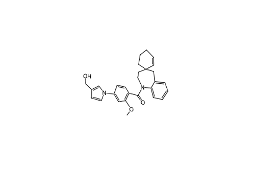 COc1cc(-n2ccc(CO)c2)ccc1C(=O)N1CCC2(C=CCCC2)Cc2ccccc21